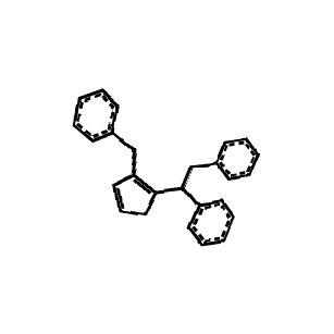 C1=CC(Cc2ccccc2)=C(C(Cc2ccccc2)c2ccccc2)C1